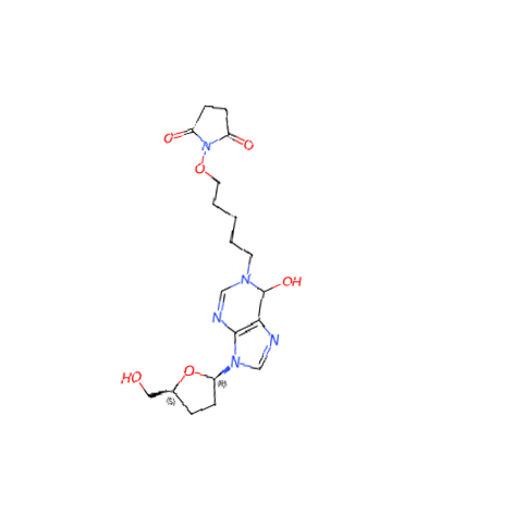 O=C1CCC(=O)N1OCCCCCN1C=Nc2c(ncn2[C@H]2CC[C@@H](CO)O2)C1O